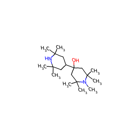 CN1C(C)(C)CC(O)(C2CC(C)(C)NC(C)(C)C2)CC1(C)C